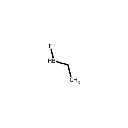 CCBF